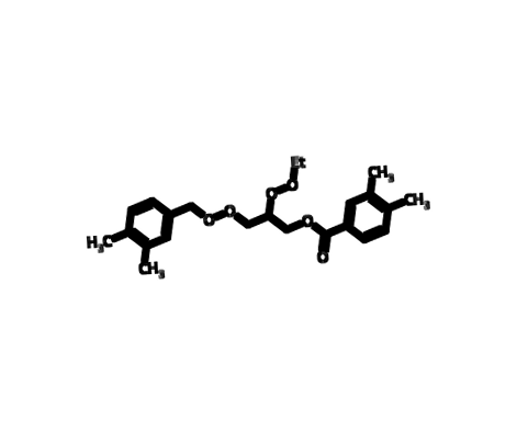 CCOOC(COOCc1ccc(C)c(C)c1)COC(=O)c1ccc(C)c(C)c1